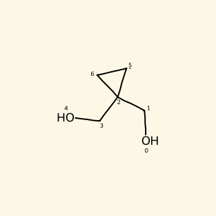 OCC1(CO)[CH]C1